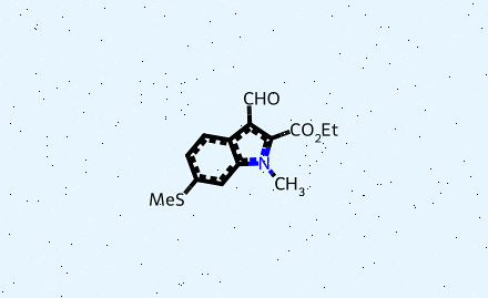 CCOC(=O)c1c(C=O)c2ccc(SC)cc2n1C